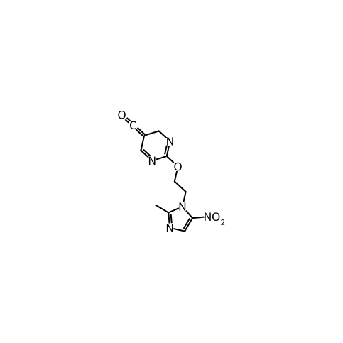 Cc1ncc([N+](=O)[O-])n1CCOC1=NCC(=C=O)C=N1